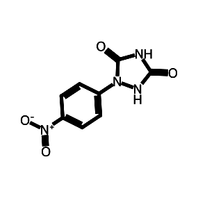 O=c1[nH]c(=O)n(-c2ccc([N+](=O)[O-])cc2)[nH]1